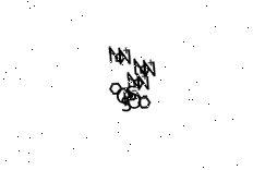 C=C[n+]1ccn(C)c1.C=C[n+]1ccn(C)c1.C=C[n+]1ccn(C)c1.[O-]P([O-])([S-])=S(Cc1ccccc1)Cc1ccccc1